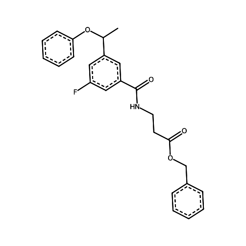 CC(Oc1ccccc1)c1cc(F)cc(C(=O)NCCC(=O)OCc2ccccc2)c1